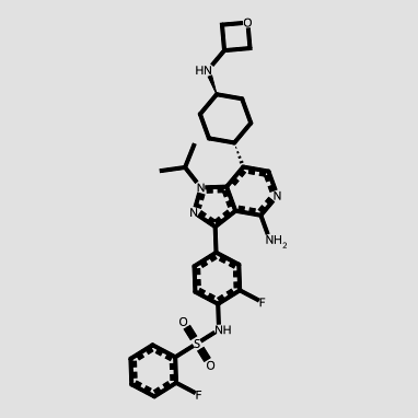 CC(C)n1nc(-c2ccc(NS(=O)(=O)c3ccccc3F)c(F)c2)c2c(N)ncc([C@H]3CC[C@H](NC4COC4)CC3)c21